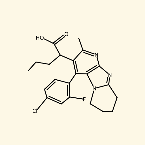 CCCC(C(=O)O)c1c(C)nc2nc3n(c2c1-c1ccc(Cl)cc1F)CCCC3